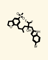 CC(Cc1cc(S(C)(=O)=O)cc2c1OCC2)CC(O)(Cc1cc2cc(Br)ccc2[nH]1)C(F)F